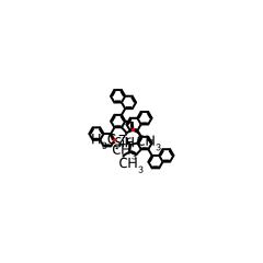 CCC1=Cc2c(-c3cccc4ccccc34)ccc(-c3cccc4ccccc34)c2[CH]1[Zr]([CH]1C(CC)=Cc2c(-c3cccc4ccccc34)ccc(-c3cccc4ccccc34)c21)[SiH](C)C